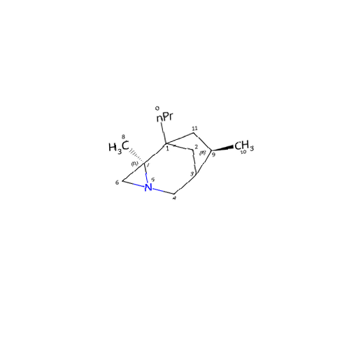 CCCC12CC(CN3C[C@]31C)[C@H](C)C2